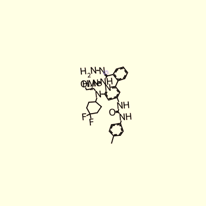 COCCN(c1cc(NC(=O)Nc2ccc(C)cc2)cc(-c2ccccc2/C(=N/N)NN)n1)C1CCC(F)(F)CC1